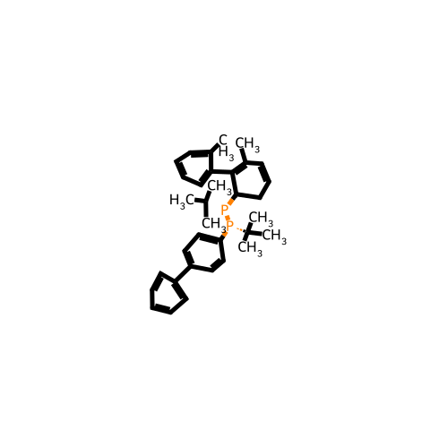 CC1=C(c2ccccc2C)[C]([P@@]([P@@](c2ccc(-c3ccccc3)cc2)C(C)(C)C)C(C)(C)C)CC=C1